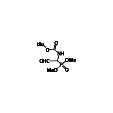 COP(=O)(OC)C(C=O)NC(=O)OC(C)(C)C